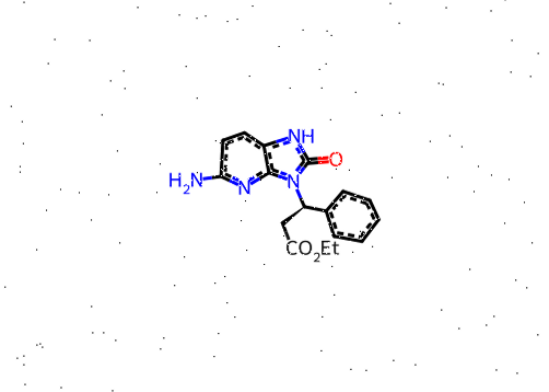 CCOC(=O)C[C@H](c1ccccc1)n1c(=O)[nH]c2ccc(N)nc21